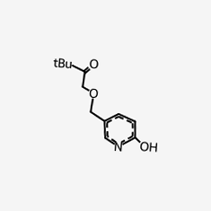 CC(C)(C)C(=O)COCc1ccc(O)nc1